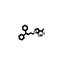 Cc1ncnc2c1ccn2CCC=C(c1ccccc1)c1ccccc1